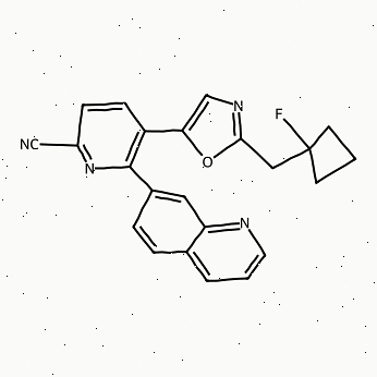 N#Cc1ccc(-c2cnc(CC3(F)CCC3)o2)c(-c2ccc3cccnc3c2)n1